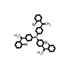 C=C(c1ccc(N(c2ccc(C(=C)c3ccccc3Br)cc2)c2ccc(C(=C)c3ccccc3Br)cc2)cc1)c1ccccc1Br